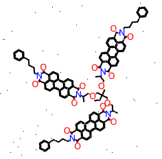 CCC(COCC(C)N1C(=O)c2ccc3c4ccc5c6c(ccc(c7ccc(c2c37)C1=O)c64)C(=O)N(CCCCc1ccccc1)C5=O)(COCC(C)N1C(=O)c2ccc3c4ccc5c6c(ccc(c7ccc(c2c37)C1=O)c64)C(=O)N(CCCCc1ccccc1)C5=O)COCC(C)N1C(=O)c2ccc3c4ccc5c6c(ccc(c7ccc(c2c37)C1=O)c64)C(=O)N(CCCCc1ccccc1)C5=O